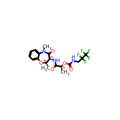 C[C@H](OC(=O)NCC(F)(F)C(F)(F)F)C(=O)N[C@@H]1C(=O)N(C)c2ccccc2O[C@@H]1C